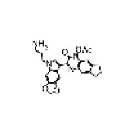 CC(=O)On1c(=O)c(-c2cn(CCCN)c3cc4c(cc23)OCO4)nc2cc3c(cc21)CCC3